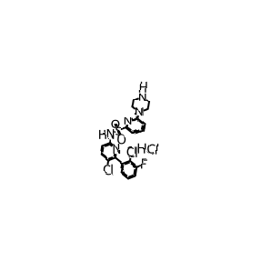 Cl.O=S(=O)(Nc1ccc(Cl)c(-c2cccc(F)c2Cl)n1)c1cccc(N2CCNCC2)n1